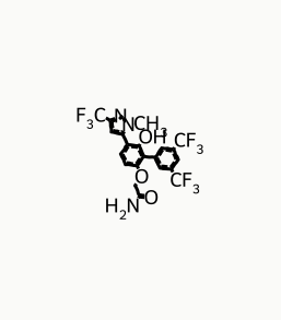 Cn1nc(C(F)(F)F)cc1-c1ccc(OCC(N)=O)c(-c2cc(C(F)(F)F)cc(C(F)(F)F)c2)c1O